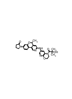 CC1Oc2cc(N3CCCC3=O)ccc2-c2cnc(Nc3cnc4c(c3)N(C(=O)C(C)(C)O)CCO4)cc21